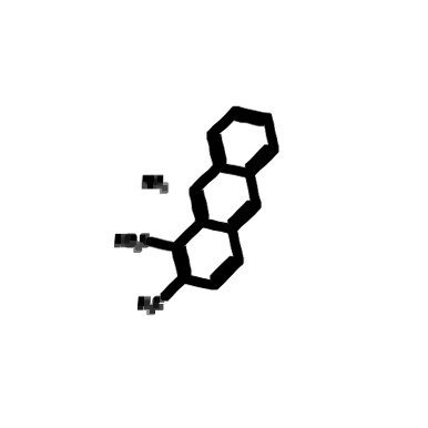 Cc1ccc2cc3ccccc3cc2c1S(=O)(=O)O.N